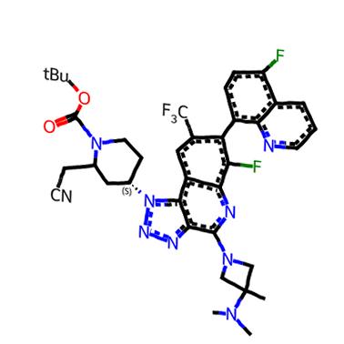 CN(C)C1(C)CN(c2nc3c(F)c(-c4ccc(F)c5cccnc45)c(C(F)(F)F)cc3c3c2nnn3[C@H]2CCN(C(=O)OC(C)(C)C)C(CC#N)C2)C1